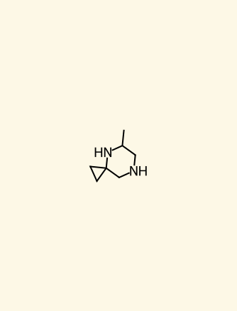 CC1CNCC2(CC2)N1